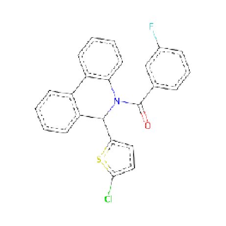 O=C(c1cccc(F)c1)N1c2ccccc2-c2ccccc2C1c1ccc(Cl)s1